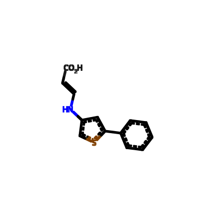 O=C(O)C=CNc1csc(-c2ccccc2)c1